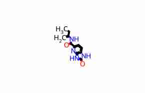 C=C(CC)NC(=O)c1ccc2[nH]c(=O)[nH]c2n1